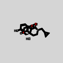 CCO[C@@]12CCC(=O)C[C@@]13CCN(CC1CC1)[C@@H]2Cc1ccc(O)cc13.Cl